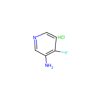 Cl.Nc1cnccc1F